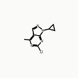 Cc1nc(Cl)nc2c1cnn2C1CC1